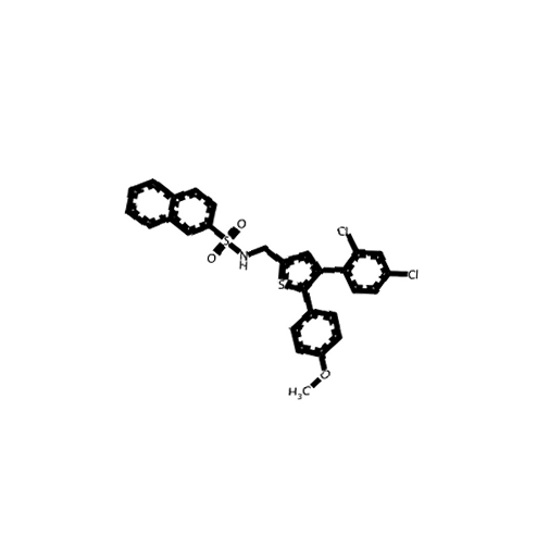 COc1ccc(-c2sc(CNS(=O)(=O)c3ccc4ccccc4c3)cc2-c2ccc(Cl)cc2Cl)cc1